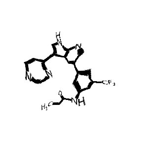 C=CC(=O)Nc1cc(-c2cnc3[nH]cc(-c4ccncn4)c3c2)cc(C(F)(F)F)c1